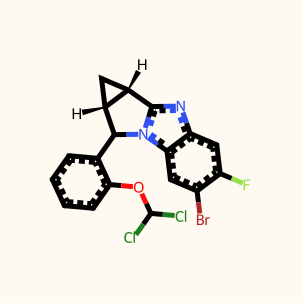 Fc1cc2nc3n(c2cc1Br)C(c1ccccc1OC(Cl)Cl)[C@@H]1C[C@H]31